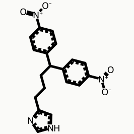 O=[N+]([O-])c1ccc(C(CCCc2c[nH]cn2)c2ccc([N+](=O)[O-])cc2)cc1